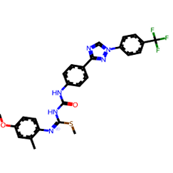 COc1ccc(/N=C(\NC(=O)Nc2ccc(-c3ncn(-c4ccc(C(F)(F)F)cc4)n3)cc2)SC)c(C)c1